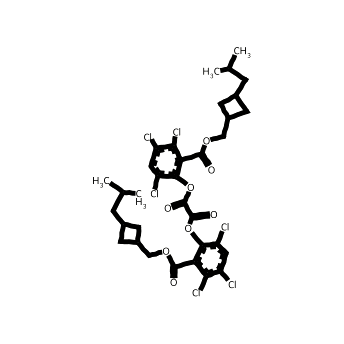 CC(C)CC1CC(COC(=O)c2c(Cl)c(Cl)cc(Cl)c2OC(=O)C(=O)Oc2c(Cl)cc(Cl)c(Cl)c2C(=O)OCC2CC(CC(C)C)C2)C1